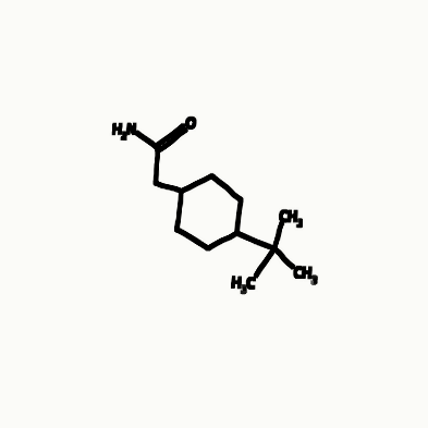 CC(C)(C)C1CCC(CC(N)=O)CC1